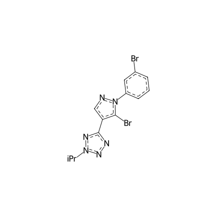 CC(C)n1nnc(-c2cnn(-c3cccc(Br)c3)c2Br)n1